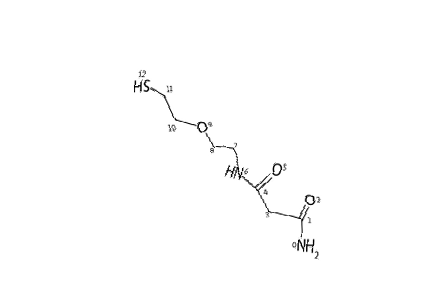 NC(=O)CC(=O)NCCOCCS